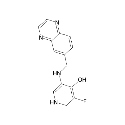 OC1=C(F)CNC=C1NCc1ccc2nccnc2c1